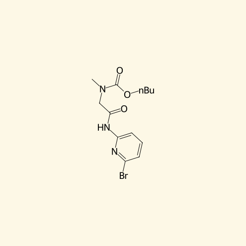 CCCCOC(=O)N(C)CC(=O)Nc1cccc(Br)n1